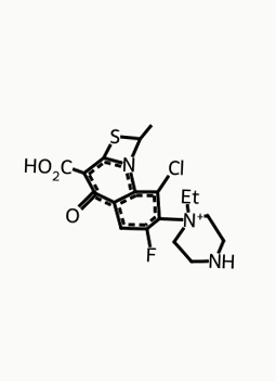 CC[N+]1(c2c(F)cc3c(=O)c(C(=O)O)c4n(c3c2Cl)C(C)S4)CCNCC1